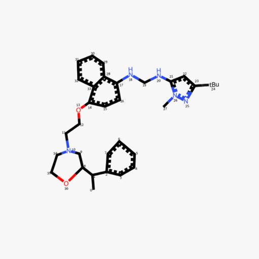 CC(c1ccccc1)C1CN(CCOc2ccc(NCNc3cc(C(C)(C)C)nn3C)c3ccccc23)CCO1